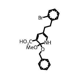 COC1(OCc2ccccc2)NC=C(CCc2ccccc2Br)C=C1C(=O)O